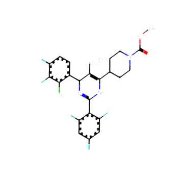 CCOC(=O)C1=C(C2CCN(C(=O)OC(C)(C)C)CC2)NC(c2c(F)cc(F)cc2F)=NC1c1ccc(F)c(F)c1Cl